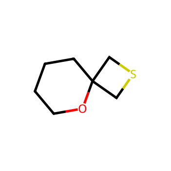 C1CCC2(CSC2)OC1